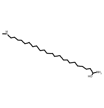 CPCCCCCCCCCCCCCCCCCCCCCCC(N)O